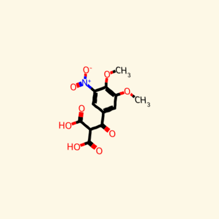 COc1cc(C(=O)C(C(=O)O)C(=O)O)cc([N+](=O)[O-])c1OC